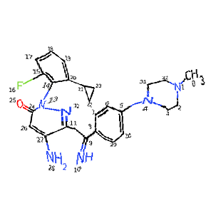 CN1CCN(c2ccc(C(=N)c3nn(-c4c(F)cccc4C4CC4)c(=O)cc3N)cc2)CC1